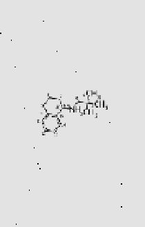 CC(C)(C)CN[C@@H]1CCCc2ccccc21